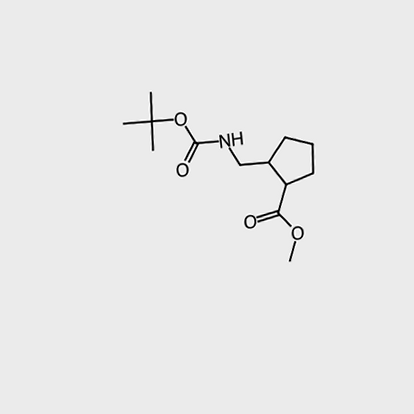 COC(=O)C1CCCC1CNC(=O)OC(C)(C)C